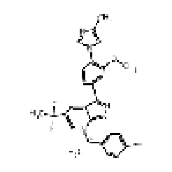 COc1cc(-c2nnc3n([C@@H](C)c4ccc(F)cc4)cc(C(C)(F)F)cc2-3)ccc1-n1cnc(C)c1